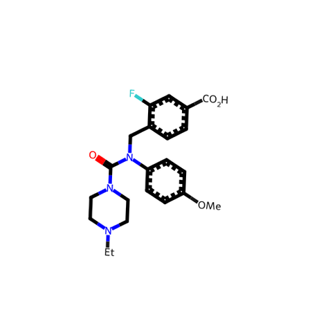 CCN1CCN(C(=O)N(Cc2ccc(C(=O)O)cc2F)c2ccc(OC)cc2)CC1